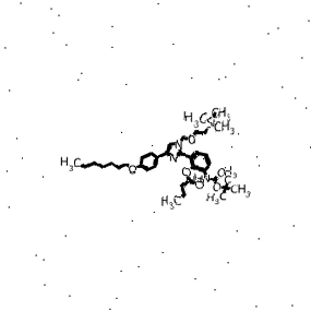 CCCCCCCOc1ccc(-c2cn(COCC[Si](C)(C)C)c(-c3cccc(NC(=O)OC(C)(C)C)c3OC(=O)CCC)n2)cc1